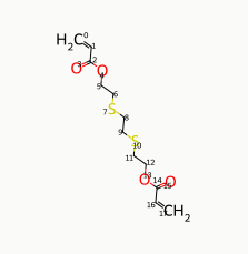 C=CC(=O)OCCSCCSCCOC(=O)C=C